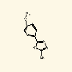 Nc1nnc(-c2ccc(OC(F)(F)F)cc2)[nH]1